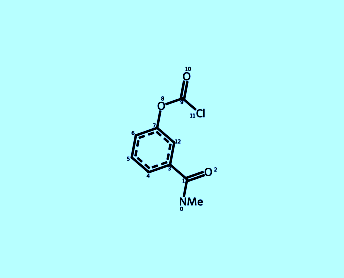 CNC(=O)c1cccc(OC(=O)Cl)c1